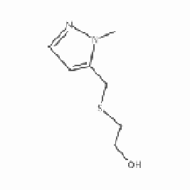 Cn1nccc1CSCCO